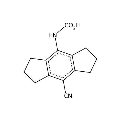 N#Cc1c2c(c(NC(=O)O)c3c1CCC3)CCC2